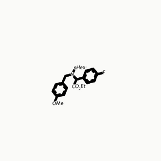 CC[CH]CC[CH]N(Cc1ccc(OC)cc1)C(C(=O)OCC)c1ccc(F)cc1